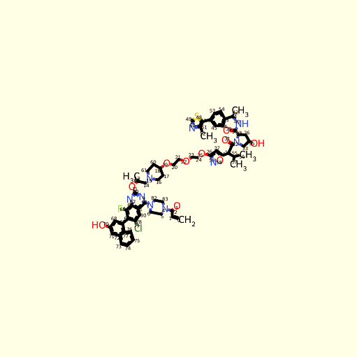 C=CC(=O)N1CCN(c2nc(O[C@H](C)CN3CCC(OCCOCCOc4cc(C(C(=O)N5C[C@H](O)C[C@H]5C(=O)N[C@@H](C)c5ccc(-c6scnc6C)cc5)C(C)C)on4)CC3)nc3c(F)c(-c4cc(O)cc5ccccc45)c(Cl)cc23)CC1